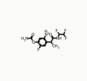 CC(C(=O)NC(F)C(F)F)c1cc(F)c(OC(N)=O)cc1N